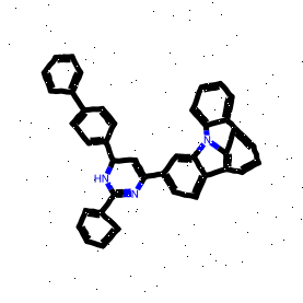 C1=C(c2ccc3c4cccc5c6ccccc6n(c3c2)c54)N=C(c2ccccc2)NC1c1ccc(-c2ccccc2)cc1